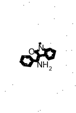 CN1C(=O)/C(=C(/N)c2ccccc2)c2ccccc21